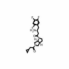 N[C@@H](CC(=O)N1CC[C@H]2CN(C(=O)CC3CC3)C[C@H]21)Cc1cc(F)c(F)cc1F